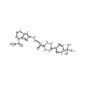 NC(=O)c1cccc2cn(CC=CC(=O)N3CCN(c4ncc(C(F)(F)F)cn4)CC3)nc12